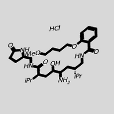 COCCCCOc1ccccc1C(=O)NC[C@@H](CC(N)C(O)CC(C(=O)NCC1CCC(=O)N1)C(C)C)C(C)C.Cl